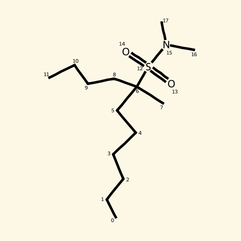 CCCCCCC(C)(CCCC)S(=O)(=O)N(C)C